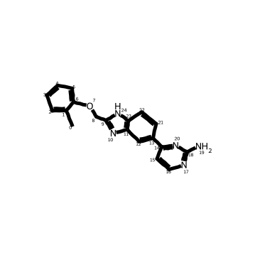 Cc1ccccc1OCc1nc2cc(-c3ccnc(N)n3)ccc2[nH]1